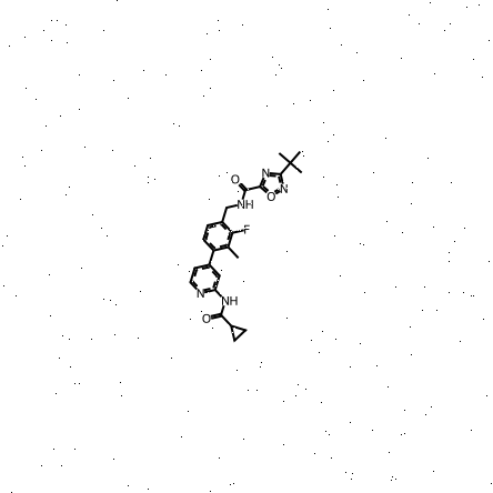 Cc1c(-c2ccnc(NC(=O)C3CC3)c2)ccc(CNC(=O)c2nc(C(C)(C)C)no2)c1F